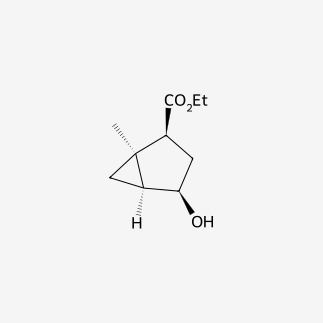 CCOC(=O)[C@H]1C[C@@H](O)[C@H]2C[C@@]12C